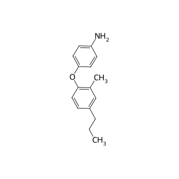 CCCc1ccc(Oc2ccc(N)cc2)c(C)c1